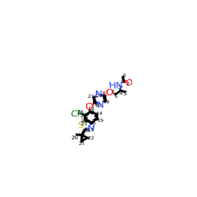 CC(=O)NC(C)COc1cnc(Oc2ccc3nc(C4(C)CC4)sc3c2Cl)cn1